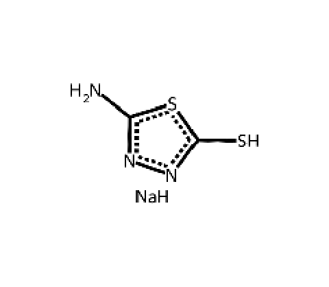 Nc1nnc(S)s1.[NaH]